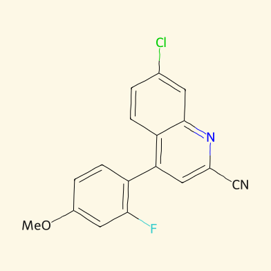 COc1ccc(-c2cc(C#N)nc3cc(Cl)ccc23)c(F)c1